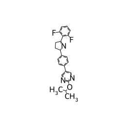 CC(C)Oc1ncc(-c2ccc(C3CCC(c4c(F)cccc4F)=N3)cc2)cn1